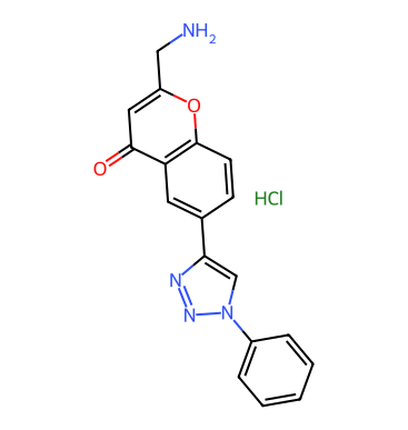 Cl.NCc1cc(=O)c2cc(-c3cn(-c4ccccc4)nn3)ccc2o1